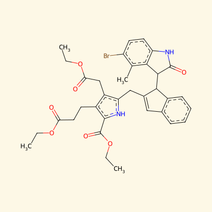 CCOC(=O)CCc1c(C(=O)OCC)[nH]c(CC2=Cc3ccccc3C2C2C(=O)Nc3ccc(Br)c(C)c32)c1CC(=O)OCC